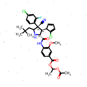 COc1cc(C(=O)OC(C)OC(C)=O)ccc1NC(=O)[C@@H]1NC(CC(C)(C)C)[C@](C#N)(c2ccc(Cl)cc2F)[C@H]1C1C=CC=C1Cl